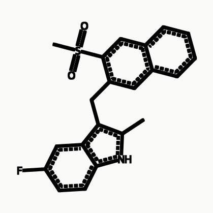 Cc1[nH]c2ccc(F)cc2c1Cc1cc2ccccc2cc1S(C)(=O)=O